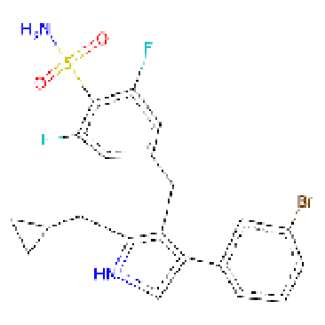 NS(=O)(=O)c1c(F)cc(Cc2c(-c3cccc(Br)c3)c[nH]c2CC2CC2)cc1F